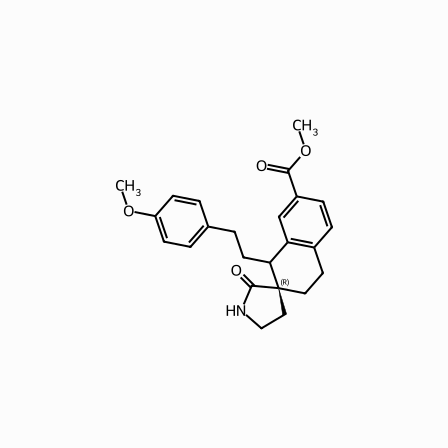 COC(=O)c1ccc2c(c1)C(CCc1ccc(OC)cc1)[C@]1(CCNC1=O)CC2